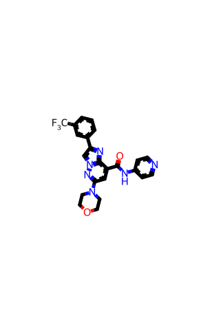 O=C(Nc1ccncc1)c1cc(N2CCOCC2)nn2cc(-c3cccc(C(F)(F)F)c3)nc12